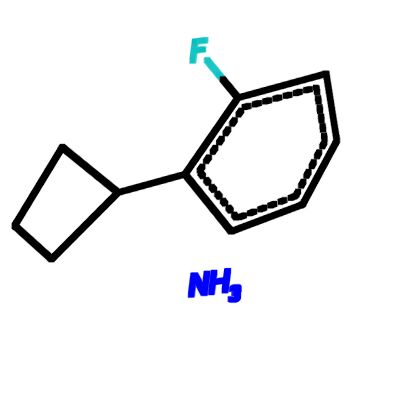 Fc1ccccc1C1CCC1.N